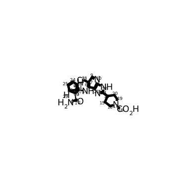 NC(=O)[C@@H]1[C@H](Nc2c(Cl)cnc3[nH]c(C4CCN(C(=O)O)CC4)nc23)[C@H]2C=C[C@@H]1C2